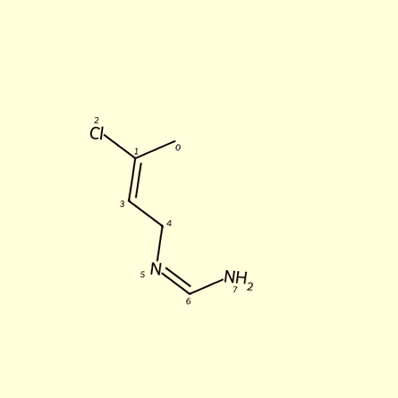 C/C(Cl)=C\C/N=C\N